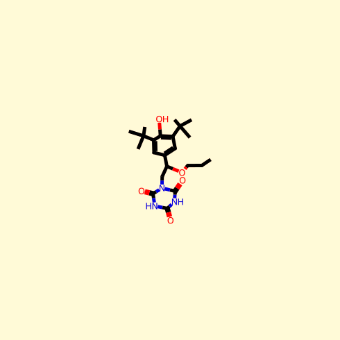 CCCOC(Cn1c(=O)[nH]c(=O)[nH]c1=O)c1cc(C(C)(C)C)c(O)c(C(C)(C)C)c1